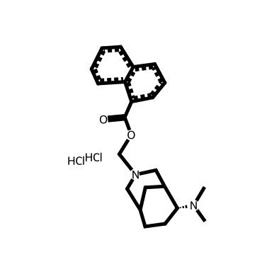 CN(C)[C@@H]1CCC2CC1CN(COC(=O)c1cccc3ccccc13)C2.Cl.Cl